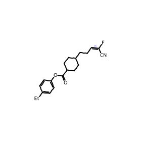 CCc1ccc(OC(=O)C2CCC(CC/C=C(/F)C#N)CC2)cc1